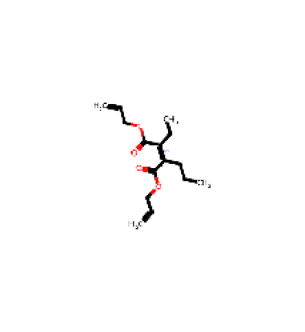 C=CCOC(=O)/C(CC)=C(/CCC)C(=O)OCC=C